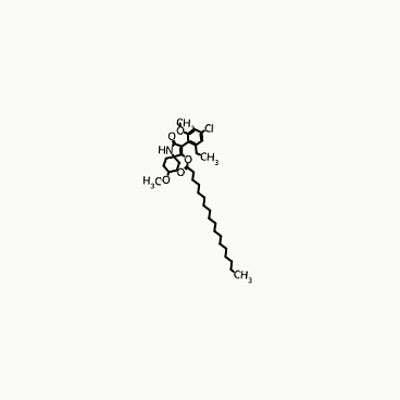 CCCCCCCCCCCCCCCCCC(=O)OC1=C(c2c(CC)cc(Cl)cc2OC)C(=O)NC12CCC(OC)CC2